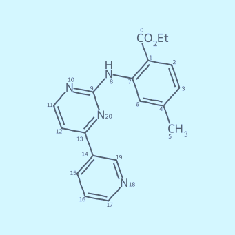 CCOC(=O)c1ccc(C)cc1Nc1nccc(-c2cccnc2)n1